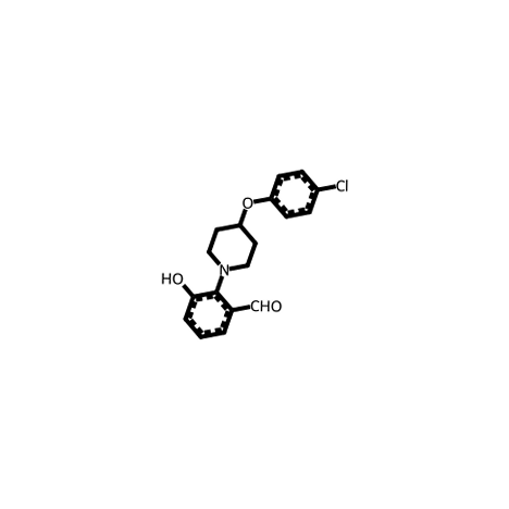 O=Cc1cccc(O)c1N1CCC(Oc2ccc(Cl)cc2)CC1